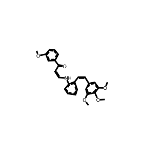 COc1cccc(C(=O)/C=C\Nc2ccccc2/C=C\c2cc(OC)c(OC)c(OC)c2)c1